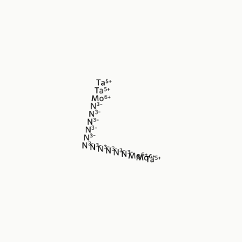 [Mo+6].[Mo+6].[Mo+6].[N-3].[N-3].[N-3].[N-3].[N-3].[N-3].[N-3].[N-3].[N-3].[N-3].[N-3].[Ta+5].[Ta+5].[Ta+5]